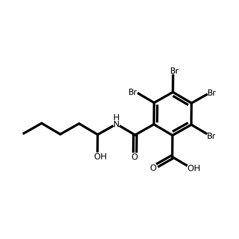 CCCCC(O)NC(=O)c1c(Br)c(Br)c(Br)c(Br)c1C(=O)O